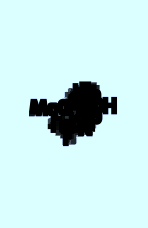 CCN1C(=O)c2c(O)c(=O)c(-c3nnc(Cc4c(F)cc(F)cc4F)s3)cn2N2[C@H](COC)CC[C@@H]12